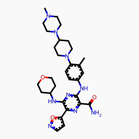 Cc1cc(Nc2nc(NC3CCOCC3)c(-c3ccno3)nc2C(N)=O)ccc1N1CCC(N2CCN(C)CC2)CC1